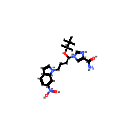 CC(C)(C)[Si](C)(C)O[C@H](CCCn1ccc2ccc([N+](=O)[O-])cc21)n1cnc(C(N)=O)c1